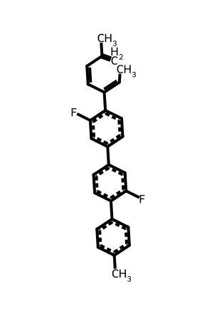 C=C(C)/C=C\C(=C/C)c1ccc(-c2ccc(-c3ccc(C)cc3)c(F)c2)cc1F